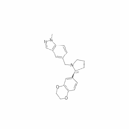 Cn1ncc2cc(CN3CCC[C@H]3c3ccc4c(c3)OCCO4)ccc21